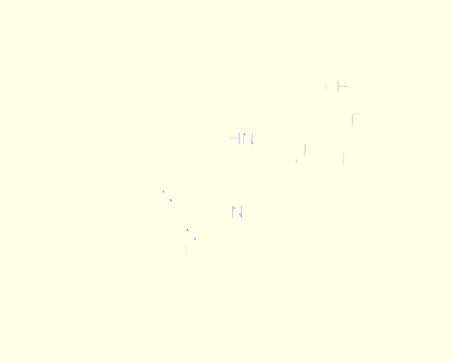 CC(OC(=O)Nc1cnc2[nH]c(-c3ccccc3)nc2c1)C(F)(F)F